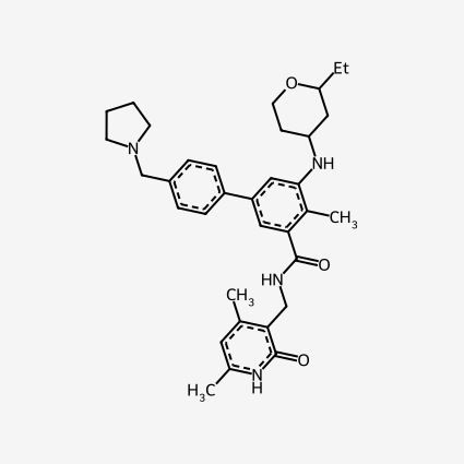 CCC1CC(Nc2cc(-c3ccc(CN4CCCC4)cc3)cc(C(=O)NCc3c(C)cc(C)[nH]c3=O)c2C)CCO1